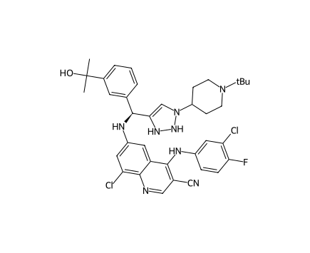 CC(C)(O)c1cccc([C@H](Nc2cc(Cl)c3ncc(C#N)c(Nc4ccc(F)c(Cl)c4)c3c2)C2=CN(C3CCN(C(C)(C)C)CC3)NN2)c1